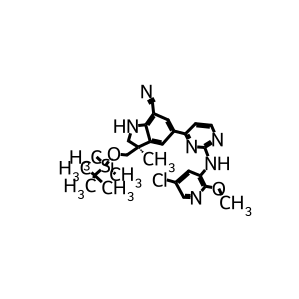 COc1ncc(Cl)cc1Nc1nccc(-c2cc(C#N)c3c(c2)[C@@](C)(CO[Si](C)(C)C(C)(C)C)CN3)n1